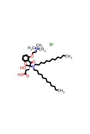 CCCCCCCCCCCCN(CCCCCCCCCCCC)[C@@](CCC(=O)O)(C(=O)O)C(=O)c1ccccc1OCC[N+](C)(C)C.[Br-]